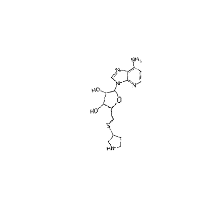 Nc1ccnc2c1ncn2C1OC(CSC2CCNC2)C(O)C1O